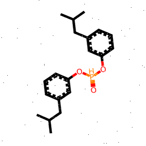 CC(C)Cc1cccc(O[PH](=O)Oc2cccc(CC(C)C)c2)c1